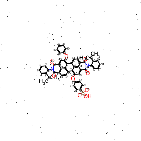 CC(C)c1ccccc1N1C(=O)c2ccc3c4c(Oc5ccc(S(=O)(=O)O)cc5)cc5c6c(ccc(c7c(Oc8ccccc8)cc(c2c37)C1=O)c64)C(=O)N(c1ccccc1C(C)C)C5=O